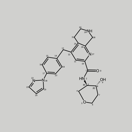 O=C(N[C@@H]1COCC[C@H]1O)c1cc(Cc2ccc(-n3cccn3)cc2)c2c(n1)CNCC2